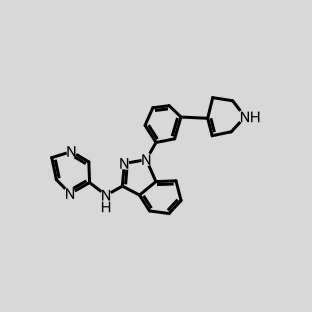 C1=C(c2cccc(-n3nc(Nc4cnccn4)c4ccccc43)c2)CCNC1